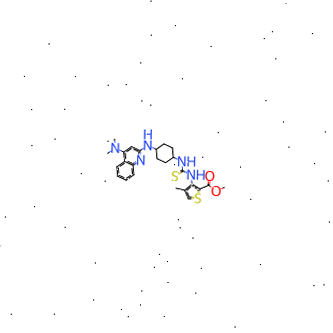 COC(=O)c1scc(C)c1NC(=S)NC1CCC(Nc2cc(N(C)C)c3ccccc3n2)CC1